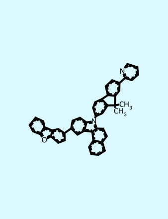 CC1(C)c2cc(-c3ccccn3)ccc2-c2ccc(-n3c4ccc(-c5ccc6oc7ccccc7c6c5)cc4c4c5ccccc5ccc43)cc21